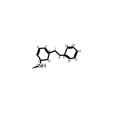 CNC1C=CC=C(CCc2ccccc2)C1